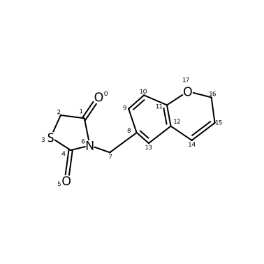 O=C1CSC(=O)N1Cc1ccc2c(c1)C=CCO2